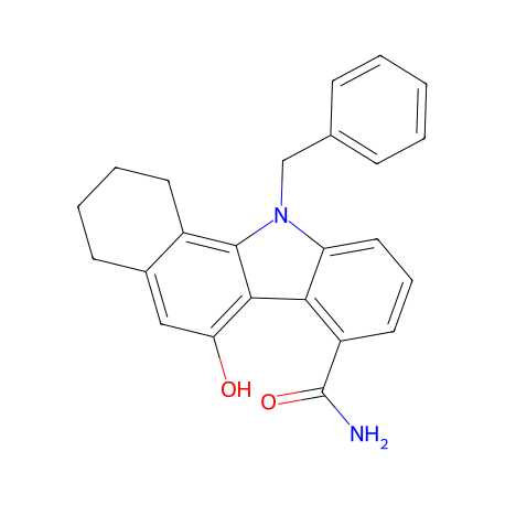 NC(=O)c1cccc2c1c1c(O)cc3c(c1n2Cc1ccccc1)CCCC3